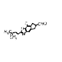 CN(C)CCc1nc2cc3c(c(F)c2o1)CC(C=O)C3